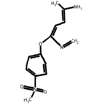 C=N/C(=C\C=C(/C)N)Oc1ccc(S(C)(=O)=O)cc1